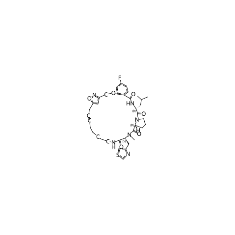 CC(C)C[C@H]1NC(=O)c2ccc(F)cc2OCc2cc(on2)CCCCCCCCNC(=O)[C@H](Cc2cscn2)N(C)C(=O)[C@H]2CCCN2C1=O